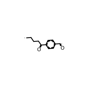 [CH2]CCCC(=O)c1ccc([C]=O)cc1